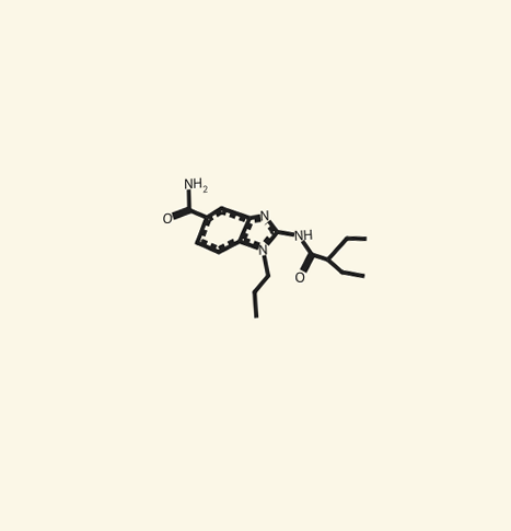 CCCn1c(NC(=O)C(CC)CC)nc2cc(C(N)=O)ccc21